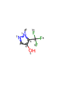 Cn1ncc(O)c1C(F)(F)F